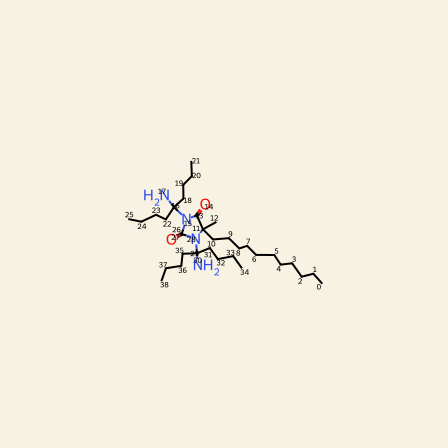 CCCCCCCCCCCC1(C)C(=O)N(C(N)(CCCC)CCCC)C(=O)N1C(N)(CCCC)CCCC